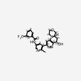 Cc1ncc(NC(=O)c2cccc(C(F)(F)F)c2)cc1-c1cc2c(nn1)[C@H](O)C[C@@H]1COCCN21